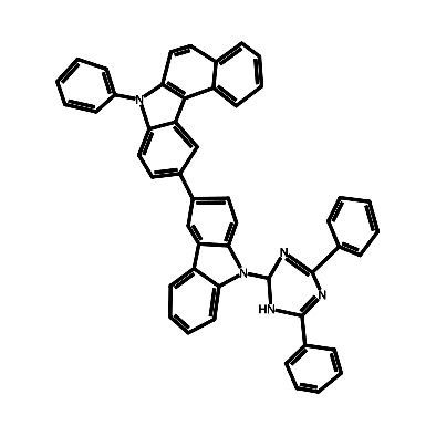 c1ccc(C2=NC(n3c4ccccc4c4cc(-c5ccc6c(c5)c5c7ccccc7ccc5n6-c5ccccc5)ccc43)NC(c3ccccc3)=N2)cc1